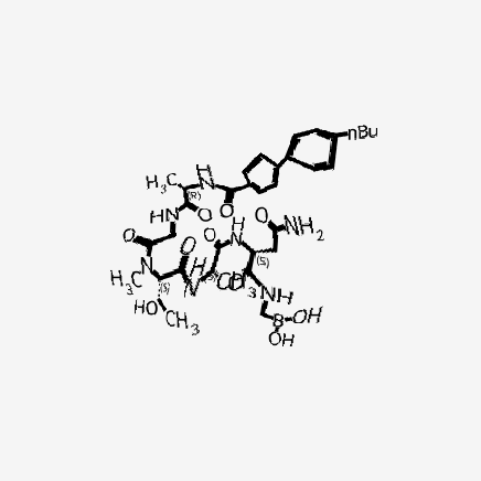 CCCCc1ccc(-c2ccc(C(=O)N[C@H](C)C(=O)NCC(=O)N(C)[C@H](C(=O)N[C@@H](C)C(=O)N[C@@H](CC(N)=O)C(=O)NCB(O)O)C(C)O)cc2)cc1